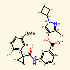 COc1ccc(F)c(C2(C(=O)Nc3cccc(C(=O)Oc4cn(C5CCC5)nc4C)c3)CC2)c1